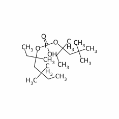 CCC(C)(C)CC(C)(CC)OP(=O)(O)OC(C)(CC)CC(C)(C)C